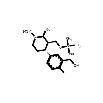 CC(C)(C)C1[C@@H](CO[Si](C)(C)C(C)(C)C)[C@H](c2ccc(F)c(CO)c2)CCN1C(=O)O